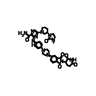 CN1CCN([C@@H]2CCCN(c3cnc(C(N)=O)c(Nc4ccc(N5CCN(c6ccc7c(c6)C(=O)N(C6CCC(=O)NC6=O)C7=O)CC5)cc4)n3)C2)C1=O